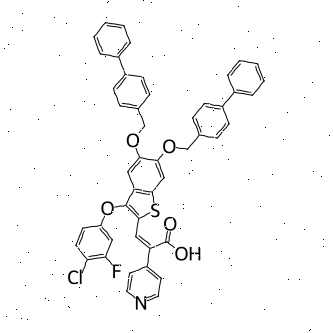 O=C(O)C(=Cc1sc2cc(OCc3ccc(-c4ccccc4)cc3)c(OCc3ccc(-c4ccccc4)cc3)cc2c1Oc1ccc(Cl)c(F)c1)c1ccncc1